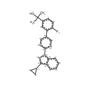 CC(C)(O)c1ccc(F)c(-c2cnc(-n3nc(C4CC4)c4cc[c]cc43)nc2)c1